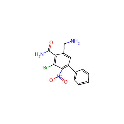 NCc1cc(-c2ccccc2)c([N+](=O)[O-])c(Br)c1C(N)=O